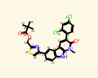 Cn1c(=O)c(-c2ccc(Cl)cc2Cl)cc2c3cc(-c4csc(COC(=O)C(C)(C)C)n4)ccc3[nH]c21